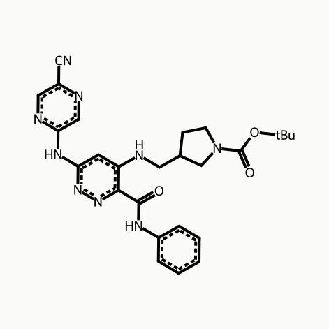 CC(C)(C)OC(=O)N1CCC(CNc2cc(Nc3cnc(C#N)cn3)nnc2C(=O)Nc2ccccc2)C1